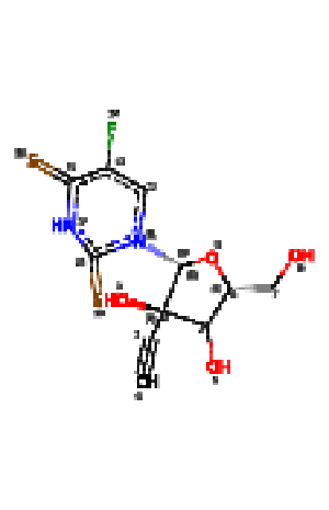 C#C[C@@]1(O)C(O)[C@@H](CO)O[C@H]1n1cc(F)c(=S)[nH]c1=S